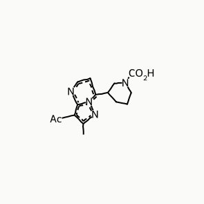 CC(=O)c1c(C)nn2c(C3CCCN(C(=O)O)C3)ccnc12